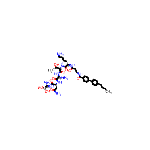 CCCCc1ccc(-c2ccc(C(=O)NCCC(=O)N[C@@H](CCCCN)C(=O)N[C@H](C(=O)N[C@@H](N)C(=O)N[C@@H](CC(N)=O)C(=O)N[C@@H](N)B(O)O)[C@@H](C)O)cc2)cc1